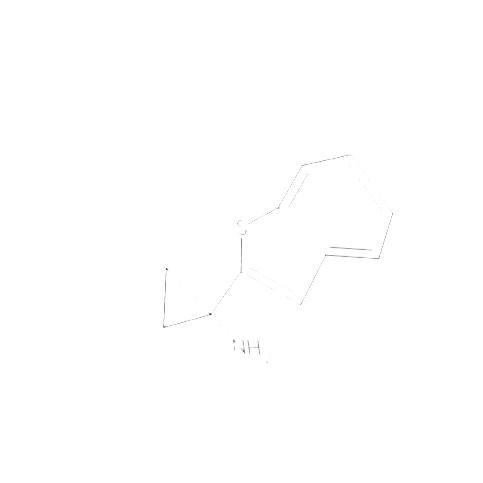 NC1(c2cc3ccccc3s2)CC1